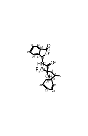 CC(CC(O)(C(=O)NC1OC(=O)c2ccccc21)C(F)(F)F)c1ccccc1